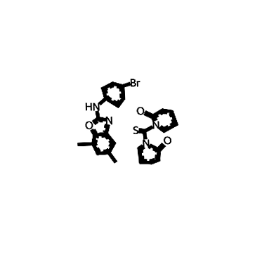 Cc1cc(C)c2oc(Nc3ccc(Br)cc3)nc2c1.O=c1ccccn1C(=S)n1ccccc1=O